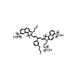 CCCCc1cccc(C(=C\C=C2\N(CCCS(=O)(=O)O)c3ccc4c(S(=O)(=O)O)cccc4c3C2(C)C)/C=C/C2=[N+](CCCC)c3ccc4ccc(S(=O)(=O)O)cc4c3C2(C)C)c1